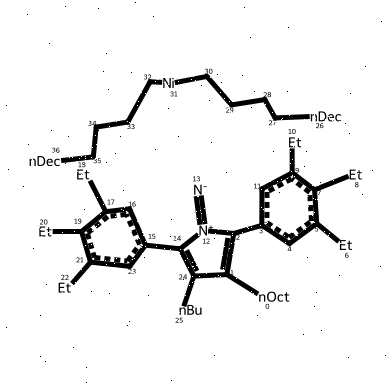 CCCCCCCCC1=C(c2cc(CC)c(CC)c(CC)c2)[N+](=[N-])C(c2cc(CC)c(CC)c(CC)c2)=C1CCCC.CCCCCCCCCCCCC[CH2][Ni][CH2]CCCCCCCCCCCCC